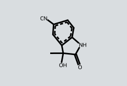 [C-]#[N+]c1ccc2c(c1)C(C)(O)C(=O)N2